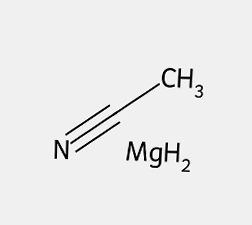 CC#N.[MgH2]